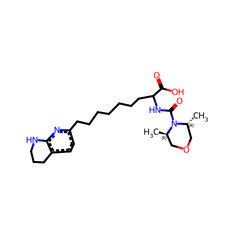 C[C@@H]1COC[C@@H](C)N1C(=O)NC(CCCCCCCc1ccc2c(n1)NCCC2)C(=O)O